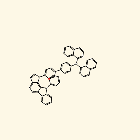 c1ccc(-n2c3ccccc3c3ccc4ccn(-c5ccc(-c6ccc(N(c7cccc8ccccc78)c7cccc8ccccc78)cc6)cc5)c4c32)cc1